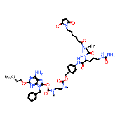 COCCOc1nc(N)c2nc(OC(=O)N(C)CCN(C)C(=O)OCc3ccc(NC(=O)[C@H](CCCNC(N)=O)NC(=O)[C@@H](NC(=O)CCCCCN4C(=O)C=CC4=O)C(C)C)cc3)n(Cc3ccccc3)c2n1